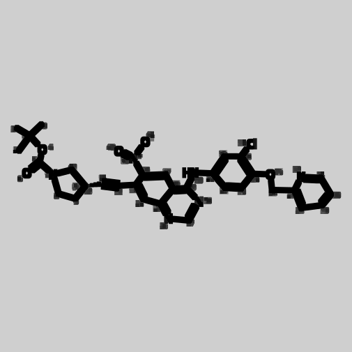 CC(C)(C)OC(=O)N1CC[C@@H](C#Cc2cc3ncnc(Nc4ccc(OCc5ccccn5)c(Cl)c4)c3cc2[N+](=O)[O-])C1